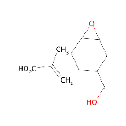 C=C(C)C(=O)O.OCC1CCC2OC2C1